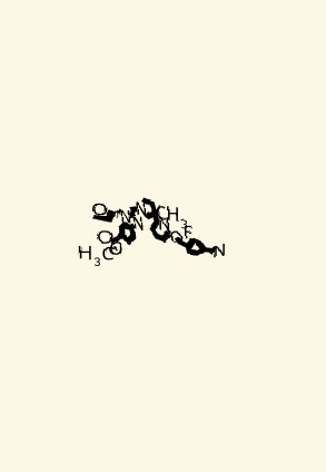 COC(=O)c1ccc2nc(CN3CC[C@](C)(C4CC=CC(OCc5ccc(C#N)cc5F)=N4)C3)n(C[C@@H]3CCO3)c2c1